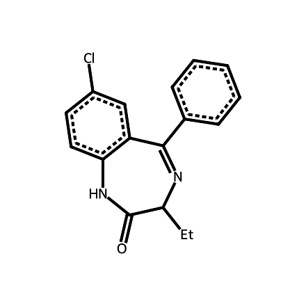 CCC1N=C(c2ccccc2)c2cc(Cl)ccc2NC1=O